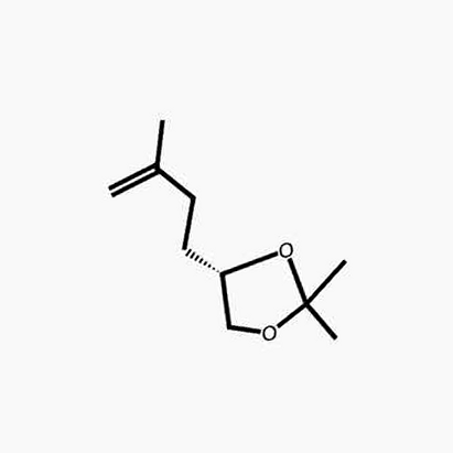 C=C(C)CC[C@H]1COC(C)(C)O1